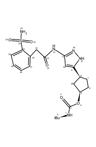 CC[C@H](C)NC(=O)O[C@@H]1CC[C@H](c2cc(NC(=O)Cc3ccccc3S(N)(=O)=O)n[nH]2)C1